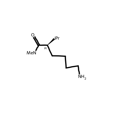 CNC(=O)[C@H](CCCCN)C(C)C